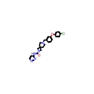 O=C(Nc1ccncn1)N1CC2(CCN(Cc3cccc(Oc4ccc(Cl)cc4)c3)CC2)C1